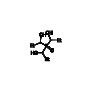 CCC(O)P(=O)(C(O)CC)C(O)CC